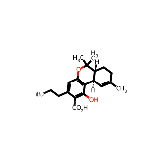 CCC(C)CCc1cc2c(c(O)c1C(=O)O)[C@@H]1C=C(C)CC[C@H]1C(C)(C)O2